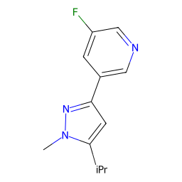 CC(C)c1cc(-c2cncc(F)c2)nn1C